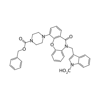 O=C(OCc1ccccc1)N1CCN(c2cccc3c2Oc2ccccc2N(Cc2cn(C(=O)O)c4ccccc24)C3=O)CC1